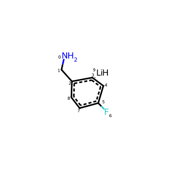 NCc1[c]cc(F)cc1.[LiH]